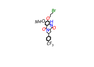 COc1cc2c(cc1OCCCBr)NC(=O)C1CC(c3ccc(C(F)(F)F)cc3)CN1C2=O